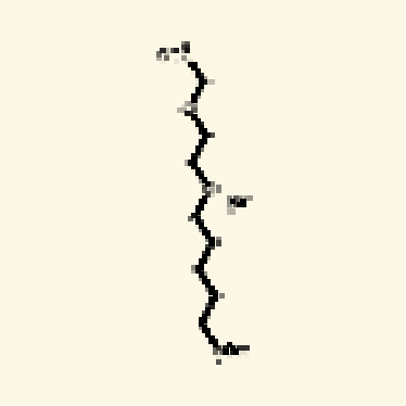 CCCCCCCCCCCCCOCCOCC(=O)[O-].[Na+]